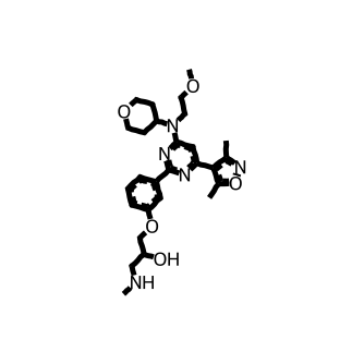 CNCC(O)COc1cccc(-c2nc(-c3c(C)noc3C)cc(N(CCOC)C3CCOCC3)n2)c1